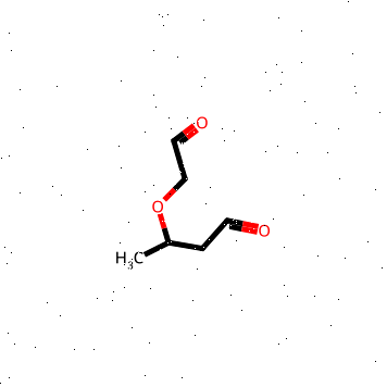 CC(CC=O)OCC=O